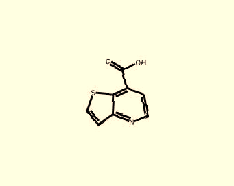 O=C(O)c1ccnc2ccsc12